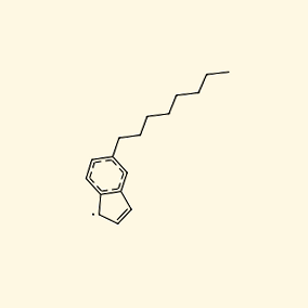 CCCCCCCCc1ccc2c(c1)C=C[CH]2